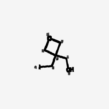 OCC1(CI)COC1